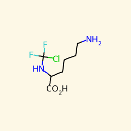 NCCCCC(NC(F)(F)Cl)C(=O)O